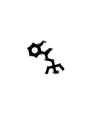 CCC(O)(CC)COC(=O)c1ccccc1F